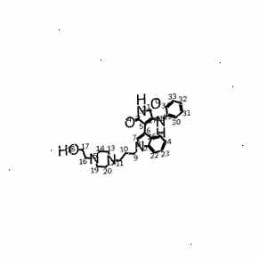 O=C1NC(=O)C(c2cn(CCCN3CCN(CCO)CC3)c3ccccc23)=C1Nc1ccccc1